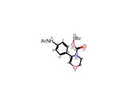 CC(=O)Nc1ccc(C2=COCCN2C(=O)OC(C)(C)C)cc1